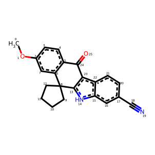 COc1ccc2c(c1)C1(CCCC1)c1[nH]c3cc(C#N)ccc3c1C2=O